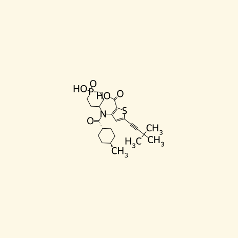 CC(C)(C)C#Cc1cc(N(C(=O)[C@H]2CC[C@H](C)CC2)C2CCP(=O)(O)CC2)c(C(=O)O)s1